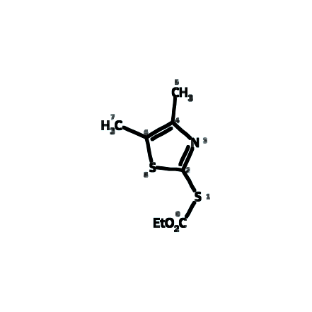 CCOC(=O)Sc1nc(C)c(C)s1